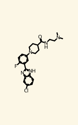 CN(C)CCNC(=O)C1CCN(c2ccc(F)c(-c3nc4cc(Cl)ccc4[nH]3)c2)CC1